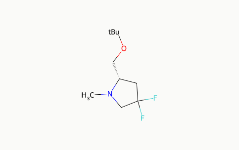 CN1CC(F)(F)C[C@H]1COC(C)(C)C